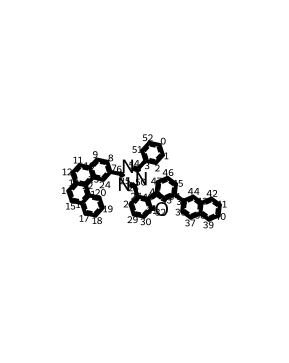 c1ccc(-c2nc(-c3ccc4ccc5ccc6ccccc6c5c4c3)nc(-c3cccc4oc5c(-c6ccc7ccccc7c6)cccc5c34)n2)cc1